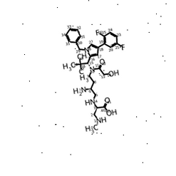 CNC[C@@H](NC[C@@H](N)CCN(C(=O)CO)[C@@H](c1cc(-c2cc(F)ccc2F)cn1Cc1ccccc1)C(C)(C)C)C(=O)O